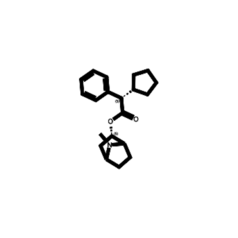 CN1C2CCC1[C@@H](OC(=O)[C@H](c1ccccc1)C1CCCC1)C2